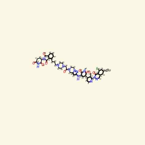 Cn1cc(-c2ccnc(-n3ncc4cc(C(C)(C)C)cc(F)c4c3=O)c2CO)cc(Nc2cc3n(n2)CCN(C(=O)CN2CCN(CCCc4cccc5c4C(=O)N(C4CCC(=O)NC4=O)C5=O)CC2)C3)c1=O